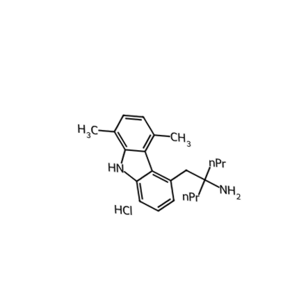 CCCC(N)(CCC)Cc1cccc2[nH]c3c(C)ccc(C)c3c12.Cl